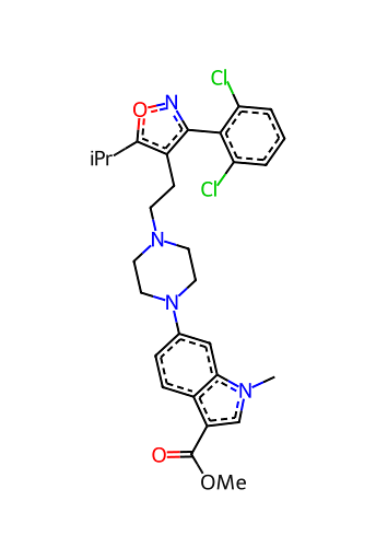 COC(=O)c1cn(C)c2cc(N3CCN(CCc4c(-c5c(Cl)cccc5Cl)noc4C(C)C)CC3)ccc12